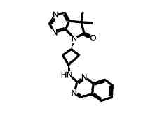 CC1(C)C(=O)N([C@H]2C[C@H](Nc3ncc4ccccc4n3)C2)c2ncncc21